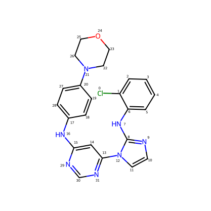 Clc1ccccc1Nc1nccn1-c1cc(Nc2ccc(N3CCOCC3)cc2)ncn1